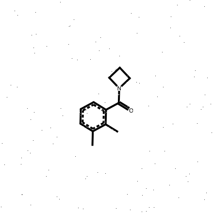 Cc1cccc(C(=O)N2CCC2)c1C